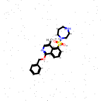 Cc1cnc(OCc2ccccc2)c2cccc(S(=O)(=O)N3CCCNCC3)c12